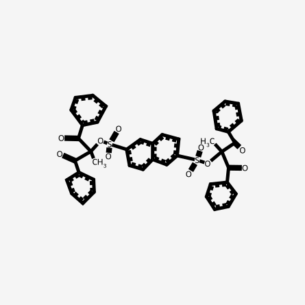 CC(OS(=O)(=O)c1ccc2cc(S(=O)(=O)OC(C)(C(=O)c3ccccc3)C(=O)c3ccccc3)ccc2c1)(C(=O)c1ccccc1)C(=O)c1ccccc1